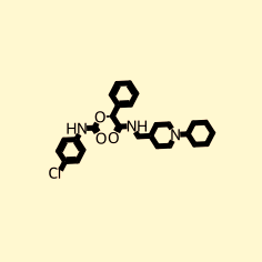 O=C(Nc1ccc(Cl)cc1)O[C@@H](C(=O)NCC1CCN(C2CCCCC2)CC1)c1ccccc1